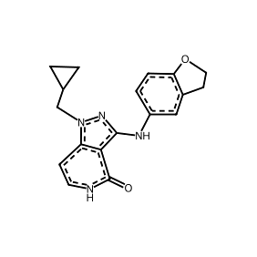 O=c1[nH]ccc2c1c(Nc1ccc3c(c1)CCO3)nn2CC1CC1